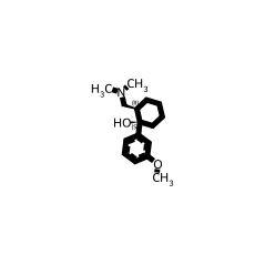 COc1cccc([C@]2(O)CCCC[C@@H]2CN(C)C)c1